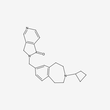 O=C1c2ccncc2CN1Cc1ccc2c(c1)CCN(C1CCC1)CC2